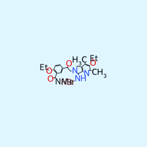 Br.CCOc1ccc(C(=O)CN2Cc3c(nc(C)c(OCC)c3C)C2=N)cc1C(=O)NC